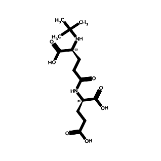 CC(C)(C)N[C@@H](CCC(=O)N[C@H](CCC(=O)O)C(=O)O)C(=O)O